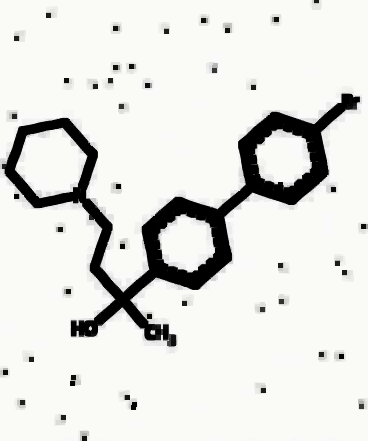 CC(O)(CCN1CCCCC1)c1ccc(-c2ccc(Br)cc2)cc1